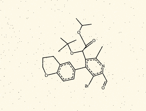 Cc1nc(C=O)c(Br)c(-c2ccc3c(c2)CCCO3)c1C(OC(C)(C)C)C(=O)OC(C)C